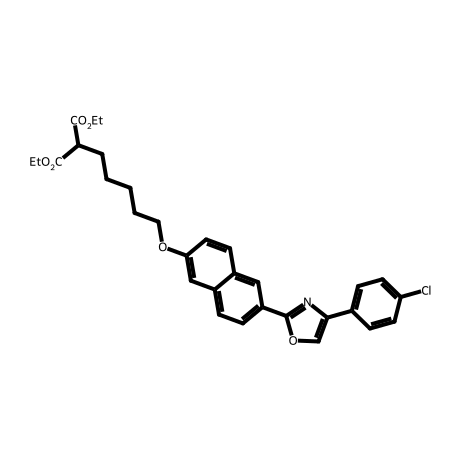 CCOC(=O)C(CCCCCOc1ccc2cc(-c3nc(-c4ccc(Cl)cc4)co3)ccc2c1)C(=O)OCC